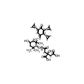 CC1(C)CC(O)CC(C)(C)N1O.O=C(O)CC(O)(CC(=O)O)C(=O)O.O=C1C=C(N2CC2)C(=O)C(N2CC2)=C1N1CC1